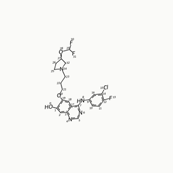 Oc1cc2ncnc(Nc3ccc(F)c(Cl)c3)c2cc1OCCCN1CC[C@@H](OC(F)F)C1